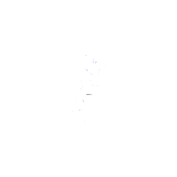 COC(=O)C(C)(C)c1ccc(-c2ccnc(Cl)n2)cc1